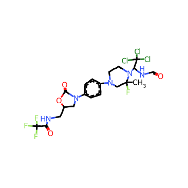 CC1(F)CN(c2ccc(N3CC(CNC(=O)C(F)(F)F)OC3=O)cc2)CCN1C(NC=O)C(Cl)(Cl)Cl